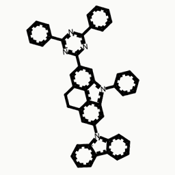 c1ccc(-c2nc(-c3ccccc3)nc(-c3cc4c5c6c(cc(-n7c8ccccc8c8ccccc87)cc6n(-c6ccccc6)c5c3)CC4)n2)cc1